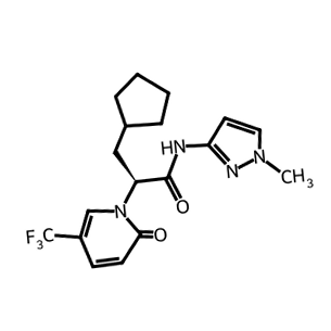 Cn1ccc(NC(=O)[C@H](CC2CCCC2)n2cc(C(F)(F)F)ccc2=O)n1